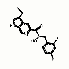 CCc1c[nH]c2cnc(C(=O)N(O)Cc3ccc(F)cc3F)cc12